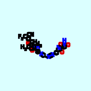 CC1(C)[C@H](NC(=O)c2ccc(N3CCC(CN4CCN(c5ccc6c(=O)n([C@H]7CCC(=O)NC7=O)ncc6c5)CC4)CC3)cc2)C(C)(C)[C@H]1Oc1ccc(C#N)c(C(F)(F)F)c1